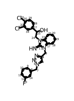 N=c1n(Cc2cn(Cc3cccc(F)c3)nn2)c2ccccc2n1CC(O)c1ccc(Cl)c(Cl)c1